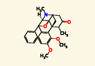 COc1ccc2c(c1OC)[C@]13CCN(C)[C@H](C2)[C@]1(OCc1ccccc1)CCC(=O)C3C